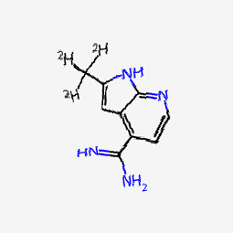 [2H]C([2H])([2H])c1cc2c(C(=N)N)ccnc2[nH]1